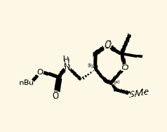 CCCCOC(=O)NC[C@@H]1COC(C)(C)O[C@H]1CSC